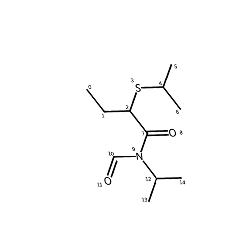 CCC(SC(C)C)C(=O)N(C=O)C(C)C